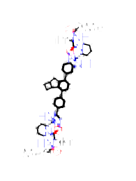 COC(=O)NC(C(=O)N1CCCC[C@H]1c1nc2ccc(-c3ccc(-c4ccc(-c5cnc([C@@H]6CCCCN6C(=O)[C@@H](NC(=O)OC)C(C)C)[nH]5)cc4)c4c3CC3CCC43)cc2[nH]1)C(C)C